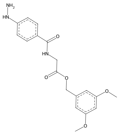 COc1cc(COC(=O)CNC(=O)c2ccc(NN)cc2)cc(OC)c1